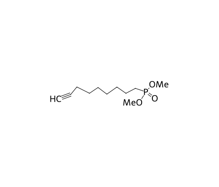 C#CCCCCCCCP(=O)(OC)OC